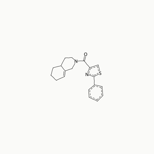 O=C(c1csc(-c2ccccc2)n1)N1CCC2CCCC=C2C1